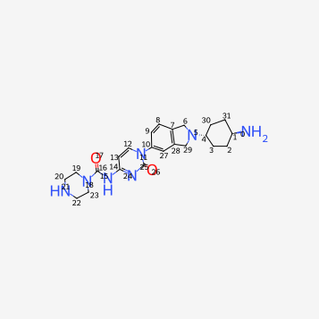 N[C@H]1CC[C@H](N2Cc3ccc(-n4ccc(NC(=O)N5CCNCC5)nc4=O)cc3C2)CC1